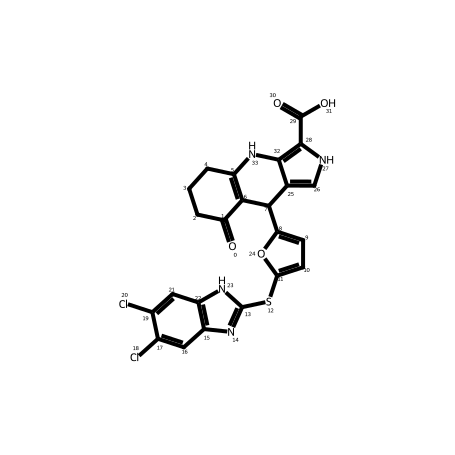 O=C1CCCC2=C1C(c1ccc(Sc3nc4cc(Cl)c(Cl)cc4[nH]3)o1)c1c[nH]c(C(=O)O)c1N2